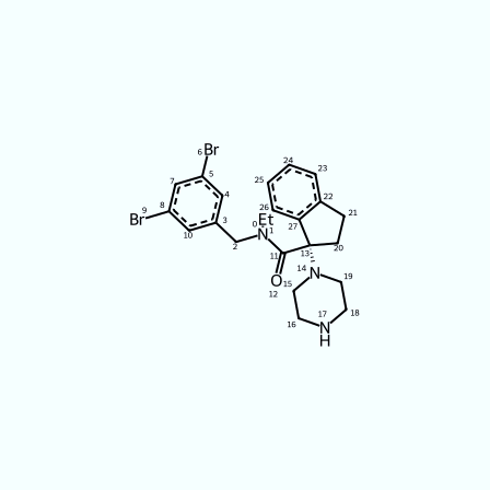 CCN(Cc1cc(Br)cc(Br)c1)C(=O)[C@]1(N2CCNCC2)CCc2ccccc21